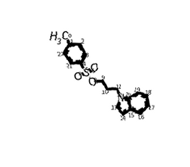 Cc1ccc(S(=O)(=O)OCCCn2ccc3ccccc32)cc1